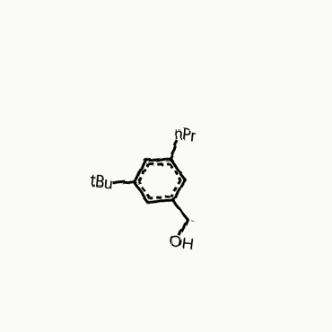 CCCc1cc([CH]O)cc(C(C)(C)C)c1